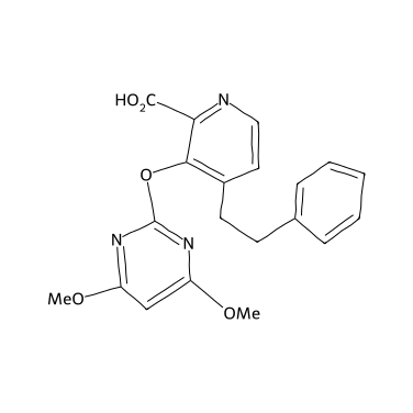 COc1cc(OC)nc(Oc2c(CCc3ccccc3)ccnc2C(=O)O)n1